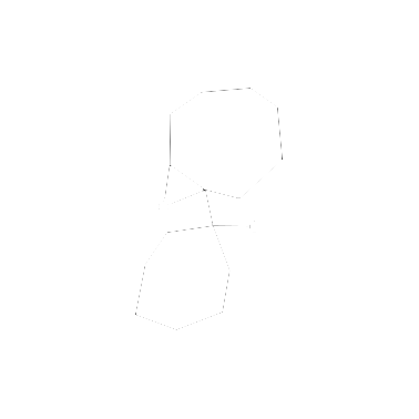 ClC1(C23CCCCCCC2O3)CCCCCC1